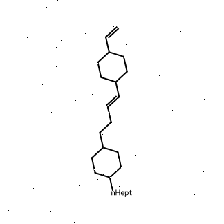 C=CC1CCC(C=CCCC2CCC(CCCCCCC)CC2)CC1